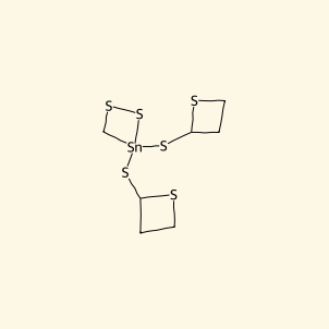 C1CC([S][Sn]2([S]C3CCS3)[CH2]S[S]2)S1